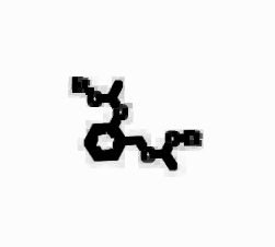 CCOC(C)OCc1ccccc1OC(C)OCC